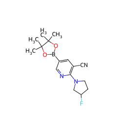 CC1(C)OB(c2cnc(N3CCC(F)C3)c(C#N)c2)OC1(C)C